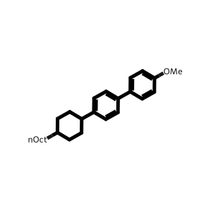 CCCCCCCCC1CCC(c2ccc(-c3ccc(OC)cc3)cc2)CC1